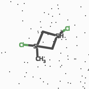 C[Si]1(Cl)C[SiH](Cl)C1